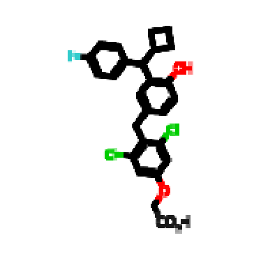 O=C(O)COc1cc(Cl)c(Cc2ccc(O)c(C(c3ccc(F)cc3)C3CCC3)c2)c(Cl)c1